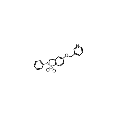 O=S1(=O)c2ccc(OCc3cccnc3)cc2CN1c1ccccc1